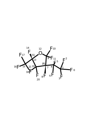 FC(F)(F)C(F)(F)[C@@]1(F)C(F)(F)O[C@@](F)(C(F)(F)F)C1(F)F